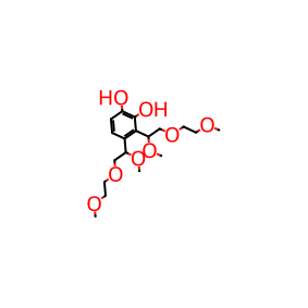 COCCOCC(OC)c1ccc(O)c(O)c1C(COCCOC)OC